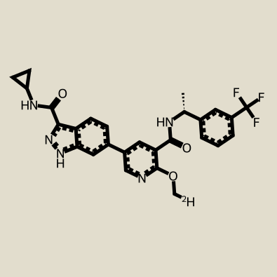 [2H]COc1ncc(-c2ccc3c(C(=O)NC4CC4)n[nH]c3c2)cc1C(=O)N[C@H](C)c1cccc(C(F)(F)F)c1